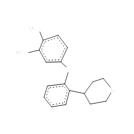 COc1ccc(Oc2ccccc2C2CCNCC2)cc1OC